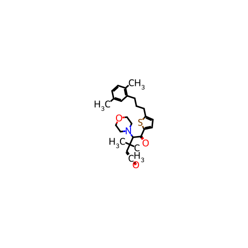 Cc1ccc(C)c(CCCc2ccc(C(=O)C(N3CCOCC3)C(C)(C)C=C=O)s2)c1